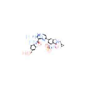 C[C@@H](C1CC1)N1Cc2cc(-c3ccn4nc(N)c(C(=O)Nc5ccc(CO)cc5)c4n3)cc(NS(C)(=O)=O)c2C1=O